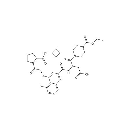 CCOC(=O)N1CCN(C(=O)C(CC(=O)O)NC(=O)c2cc(OCC(=O)N3CCCC3C(=O)NC3CCC3)c3c(F)cccc3n2)CC1